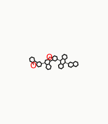 c1ccc2cc(-c3c4ccccc4c(-c4ccc5oc6cc(-c7ccc8oc9ccccc9c8c7)c7ccccc7c6c5c4)c4ccccc34)ccc2c1